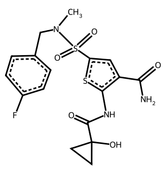 CN(Cc1ccc(F)cc1)S(=O)(=O)c1cc(C(N)=O)c(NC(=O)C2(O)CC2)s1